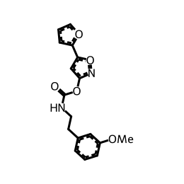 COc1cccc(CCNC(=O)Oc2cc(-c3ccco3)on2)c1